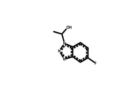 CC(O)n1nnc2cc(F)ccc21